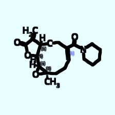 C=C1C(=O)O[C@H]2[C@H]1CC/C(C(=O)N1CCCCC1)=C\CC[C@@]1(C)O[C@@H]21